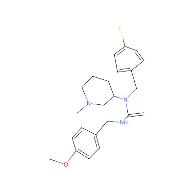 C=C(NCc1ccc(OC)cc1)N(Cc1ccc(F)cc1)C1CCCN(C)C1